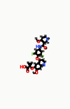 COc1cc2nccc(Oc3c(F)cc(NC(=O)c4cnccc4OC)cc3F)c2cc1OC1(C(=O)O)CC1